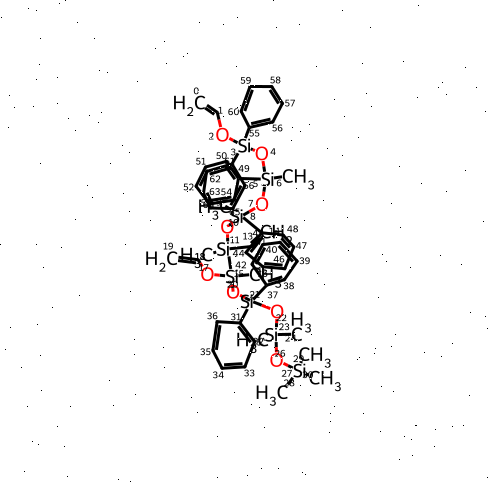 C=CO[Si](O[Si](C)(O[Si](C)(O[Si](C)(C=C)[Si](C)(OC=C)O[Si](O[Si](C)(C)O[Si](C)(C)C)(c1ccccc1)c1ccccc1)c1ccccc1)c1ccccc1)(c1ccccc1)c1ccccc1